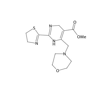 COC(=O)C1=C(CN2CCOCC2)NC(C2=NCCS2)=NC1